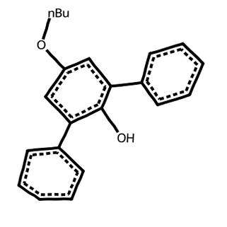 CCCCOc1cc(-c2ccccc2)c(O)c(-c2ccccc2)c1